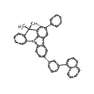 CC1(C)c2ccccc2-n2c3ccc(-c4cccc(-c5cccc6ccccc56)c4)cc3c3cc(-c4ccccc4)cc1c32